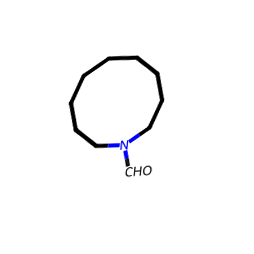 O=CN1CCCCCCCCC1